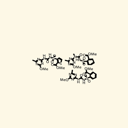 COC(=O)c1ccccc1S(=O)(=O)NC(=O)N(C)c1nc(C)nc(OC)n1.COC(=O)c1ccccc1S(=O)(=O)NC(=O)Nc1nc(C)nc(OC)n1.COC(=O)c1sccc1S(=O)(=O)NC(=O)Nc1nc(C)nc(OC)n1